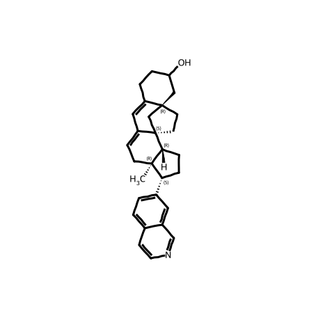 C[C@]12CC=C3C=C4CCC(O)C[C@]45CC[C@]3(C5)[C@@H]1CC[C@@H]2c1ccc2ccncc2c1